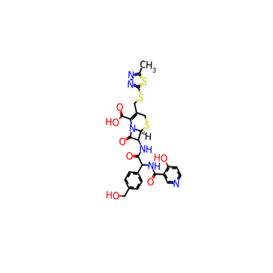 Cc1nnc(SCC2=C(C(=O)O)N3C(=O)C(NC(=O)C(NC(=O)c4cnccc4O)c4ccc(CO)cc4)[C@@H]3SC2)s1